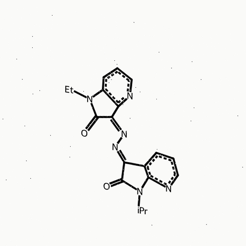 CCN1C(=O)/C(=N\N=C2\C(=O)N(C(C)C)c3ncccc32)c2ncccc21